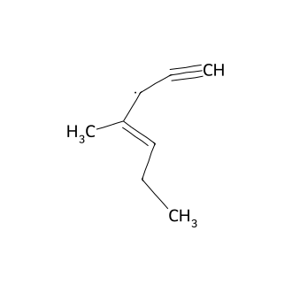 C#C[CH]C(C)=CCC